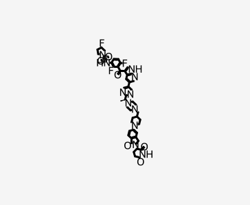 C[C@@H](c1ncc(-c2cnc3[nH]cc(C(=O)c4c(F)ccc(NS(=O)(=O)N5CC[C@@H](F)C5)c4F)c3c2)cn1)N1CCN(CC2CCN(c3ccc4c(c3)CN([C@H]3CCC(=O)NC3=O)C4=O)CC2)CC1